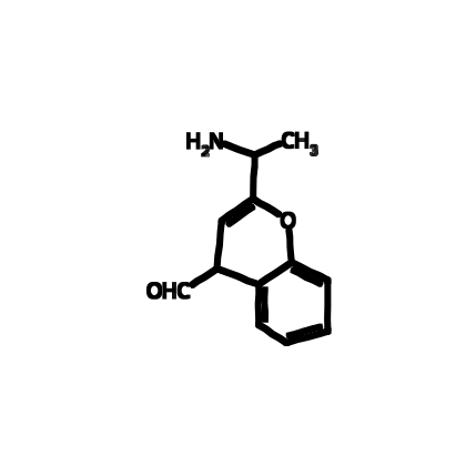 CC(N)C1=CC(C=O)c2ccccc2O1